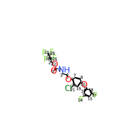 O=C(NCCOc1ccc(Oc2cc(F)cc(F)c2)cc1Cl)OCC(F)(F)C(F)F